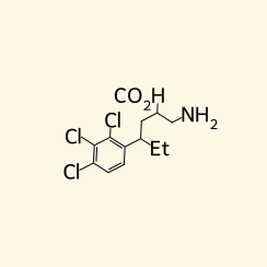 CCC(CC(CN)C(=O)O)c1ccc(Cl)c(Cl)c1Cl